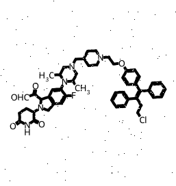 CC1CN(CC2CCN(CCOc3ccc(C(=C(CCCl)c4ccccc4)c4ccccc4)cc3)CC2)CC(C)N1c1cc2c(cc1F)CN(C1CCC(=O)NC1=O)C2C(=O)C=O